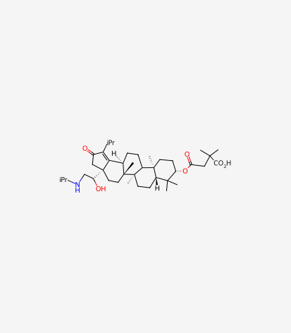 CC(C)NCC(O)[C@@]12CC[C@]3(C)[C@H](CCC4[C@@]5(C)CC[C@H](OC(=O)CC(C)(C)C(=O)O)C(C)(C)[C@@H]5CC[C@]43C)C1=C(C(C)C)C(=O)C2